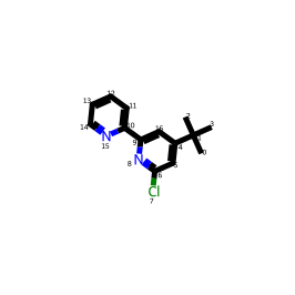 CC(C)(C)c1cc(Cl)nc(-c2ccccn2)c1